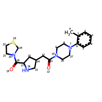 Cc1ccccc1N1CCN(C(=O)CC2CNC(C(=O)N3CCSC3)C2)CC1